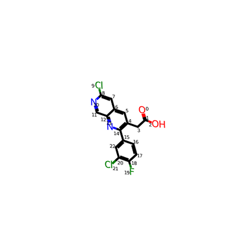 O=C(O)Cc1cc2cc(Cl)ncc2nc1-c1ccc(F)c(Cl)c1